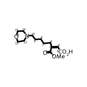 COC(=O)C(=CC(=O)O)CCCCCN1CCOCC1